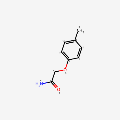 Cc1ccc(OCC(N)=O)cc1